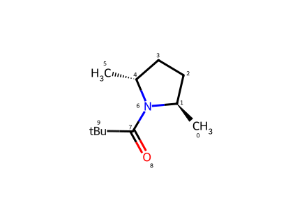 C[C@@H]1CC[C@@H](C)N1C(=O)C(C)(C)C